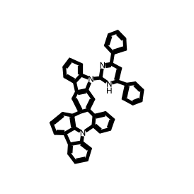 C1=C(c2ccccc2)NC(n2c3ccccc3c3cc4c(cc32)-c2ccccc2-n2c3ccccc3c3cccc-4c32)N=C1c1ccccc1